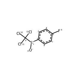 [O-][S+](c1ccc(F)cc1)C(Cl)(Cl)Cl